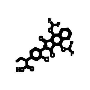 CCC(C(=O)O)c1ccc(N2C(=O)c3c(c(OC(F)F)c4ccccc4c3OC(F)F)C2=O)c(Cl)c1